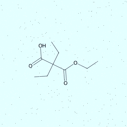 CCOC(=O)C(CC)(CC)C(=O)O